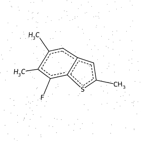 Cc1cc2cc(C)c(C)c(F)c2s1